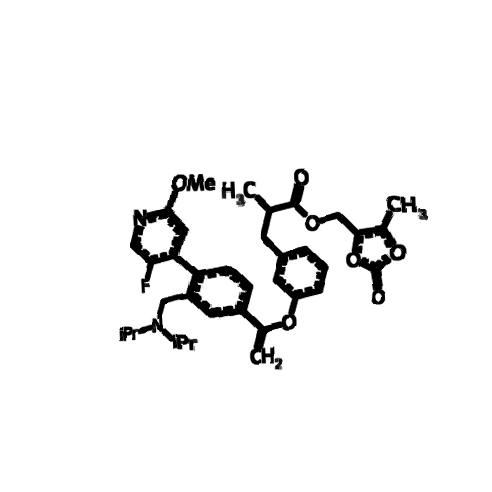 C=C(Oc1cccc(CC(C)C(=O)OCc2oc(=O)oc2C)c1)c1ccc(-c2cc(OC)ncc2F)c(CN(C(C)C)C(C)C)c1